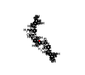 NC(=O)Nc1cc(N=c2nc(Cl)[nH]c(=Nc3ccc(-c4ccc(N=c5[nH]c(Cl)nc(=Nc6ccc(N=Nc7cc8c(S(=O)(=O)O)cc(S(=O)(=O)O)cc8cc7S(=O)(=O)O)c(NC(N)=O)c6)[nH]5)cc4S(=O)(=O)O)c(S(=O)(=O)O)c3)[nH]2)ccc1N=Nc1cc2c(S(=O)(=O)O)cc(S(=O)(=O)O)cc2cc1S(=O)(=O)O